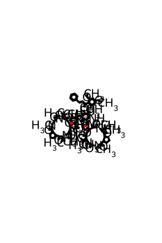 COc1cc(O)c(C(=O)C=Cc2ccccc2)c(OC)c1.Cc1c2oc3c(C)ccc(C(=O)NC4C(=O)NC(C(C)C)C(=O)C5CCCC5C(=O)N(C)CC(=O)N(C)C(C(C)C)C(=O)OC4C)c3nc-2c(C(=O)NC2C(=O)NC(C(C)C)C(=O)C3CCCC3C(=O)N(C)CC(=O)N(C)C(C(C)C)C(=O)OC2C)c(N)c1=O